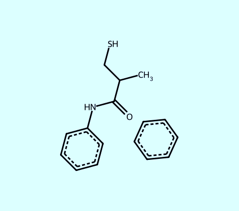 CC(CS)C(=O)Nc1ccccc1.c1ccccc1